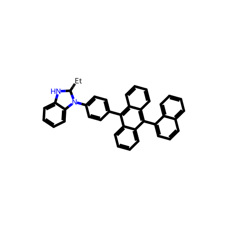 CCC1Nc2ccccc2N1c1ccc(-c2c3ccccc3c(-c3cccc4ccccc34)c3ccccc23)cc1